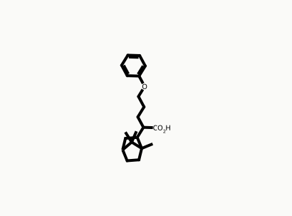 CC1(C)C2CCC1(C)C(C(CCCOc1ccccc1)C(=O)O)C2